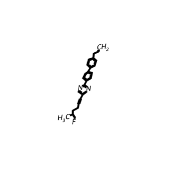 C=CCc1ccc(-c2ccc(-c3ncc(C#CCCC(C)CF)cn3)cc2)cc1